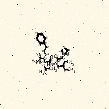 CCC(CC)CN(NC(=O)[C@H](CC(C)C)[C@H](CCCc1ccccc1)C(=O)NO)C(=O)Cn1cncn1